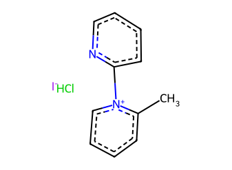 Cc1cccc[n+]1-c1ccccn1.Cl.[I-]